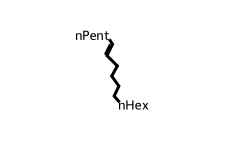 [CH2]CCCCC=CCCCCCCCCCC